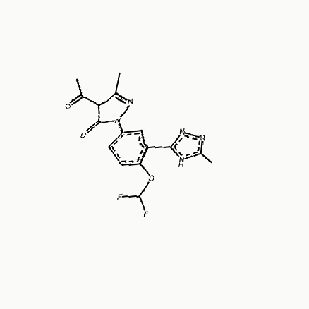 CC(=O)C1C(=O)N(c2ccc(OC(F)F)c(-c3nnc(C)[nH]3)c2)N=C1C